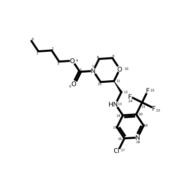 CCCCOC(=O)N1CCO[C@@H](CNc2cc(Cl)ncc2C(F)(F)F)C1